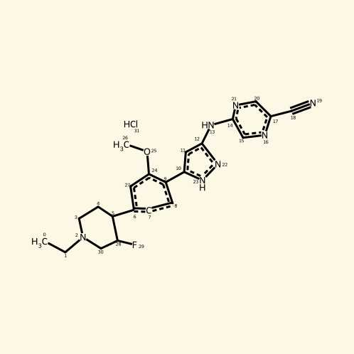 CCN1CCC(c2ccc(-c3cc(Nc4cnc(C#N)cn4)n[nH]3)c(OC)c2)C(F)C1.Cl